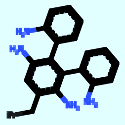 CC(C)Cc1cc(N)c(-c2ccccc2N)c(-c2ccccc2N)c1N